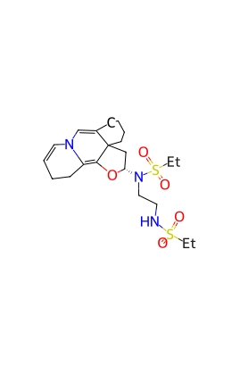 CCS(=O)(=O)NCCN([C@H]1CC23CCCCC2=CN2C=CCCC2=C3O1)S(=O)(=O)CC